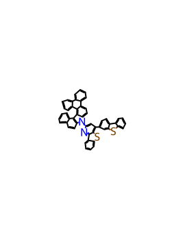 c1ccc2c(c1)ccc1c2c2c3c4ccccc4c4ccccc4c3ccc2n1-c1cc(-c2ccc3c(c2)sc2ccccc23)c2sc3ccccc3c2n1